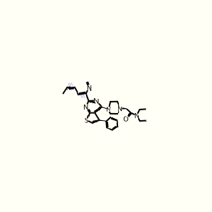 C=N/C(=C\C=C/C)c1nc(N2CCN(CC(=O)N(CC)CC)CC2)c2c(-c3ccccc3)csc2n1